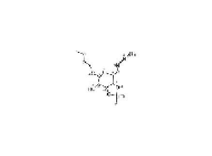 CCCCOC1OC(CN=[N+]=[N-])C2OC(C)(C)OC2C1O